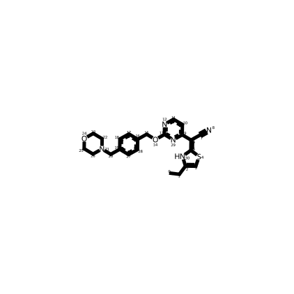 CCC1=CS/C(=C(\C#N)c2ccnc(OCc3ccc(CN4CCOCC4)cc3)n2)N1